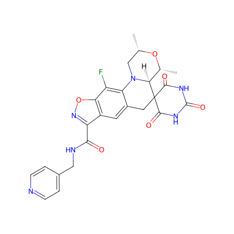 C[C@H]1CN2c3c(cc4c(C(=O)NCc5ccncc5)noc4c3F)CC3(C(=O)NC(=O)NC3=O)[C@@H]2[C@@H](C)O1